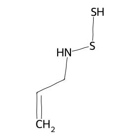 C=CCNSS